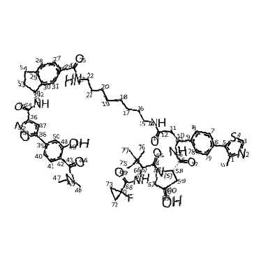 Cc1ncsc1-c1ccc([C@H](CC(=O)NCCCCCCCCNC(=O)c2ccc3c(c2)[C@H](NC(=O)c2cc(-c4ccc(C(=O)N(C)C)c(O)c4)on2)CC3)NC(=O)[C@@H]2C[C@@H](O)CN2C(=O)[C@@H](NC(=O)C2(F)CC2)C(C)(C)C)cc1